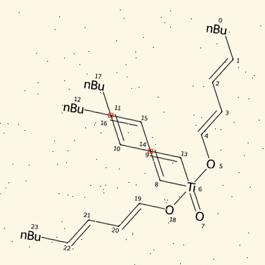 CCCCC=CC=C[O][Ti](=[O])([CH]=CC=CCCCC)([CH]=CC=CCCCC)[O]C=CC=CCCCC